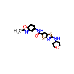 Cc1nc2cc(NC(=O)c3cc4sc(NC5CCOCC5)nc4s3)ccc2o1